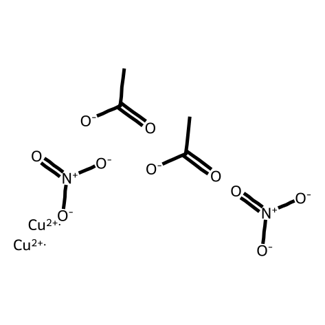 CC(=O)[O-].CC(=O)[O-].O=[N+]([O-])[O-].O=[N+]([O-])[O-].[Cu+2].[Cu+2]